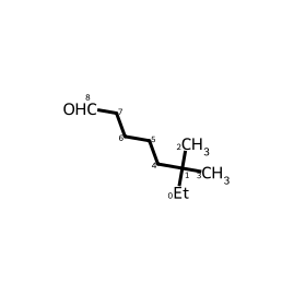 CCC(C)(C)CCCCC=O